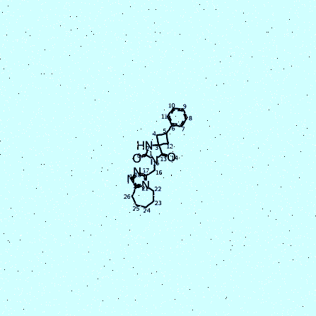 O=C1NC2(CC(c3ccccc3)C2)C(=O)N1Cc1nnc2n1CCCCC2